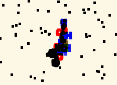 Cc1ccc(NC(=O)Nc2nc(CNC(=O)OCCN(C)C)cs2)c(C(=O)C2CCCC2)c1.Cl